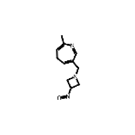 CC1=CCC=C(CN2CC(N=O)C2)C=N1